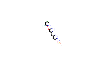 CSS(=O)(=O)Nc1ccc(Cc2cncc(Oc3ncc(Cl)cc3F)c2C)cn1